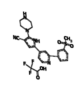 CS(=O)(=O)c1cccc(-c2cc(-c3cc(C#N)c(N4CCNCC4)[nH]3)ccn2)c1.O=C(O)C(F)(F)F